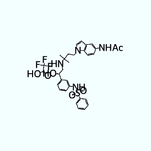 CC(=O)Nc1ccc2c(ccn2CCC(C)(C)NC[C@H](O)c2cccc(NS(=O)(=O)c3ccccc3)c2)c1.O=C(O)C(F)(F)F